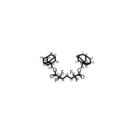 O=C(OCC12CC3CC(CC(C3)C1)C2)C(F)(F)CCCC(F)(F)C(=O)OCC12CC3CC(CC(C3)C1)C2